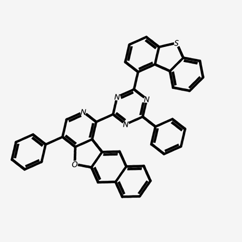 c1ccc(-c2nc(-c3cccc4sc5ccccc5c34)nc(-c3ncc(-c4ccccc4)c4oc5cc6ccccc6cc5c34)n2)cc1